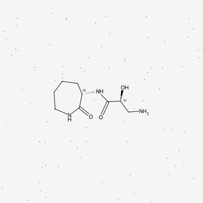 NC[C@H](O)C(=O)N[C@H]1CCCCNC1=O